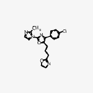 Cc1nccn1-c1nc(-c2ccc(Cl)cc2)c(CCCC2=NCCO2)o1